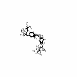 CC(Cc1ccc(Nc2ccc(CC(C)CC(C)(C)C)cc2)cc1)CC(C)(C)C